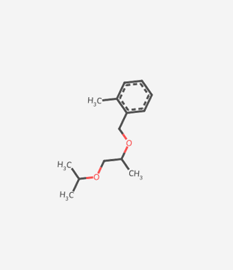 Cc1ccccc1COC(C)COC(C)C